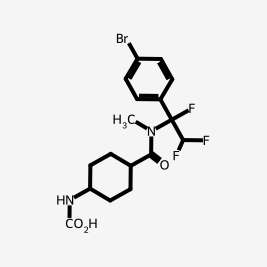 CN(C(=O)C1CCC(NC(=O)O)CC1)C(F)(c1ccc(Br)cc1)C(F)F